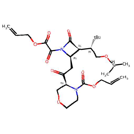 C=CCOC(=O)C(=O)N1C(=O)[C@@H]([C@@H](CO[SiH](C)C)C(C)(C)C)[C@H]1CC(=O)[C@@H]1COCCN1C(=O)OCC=C